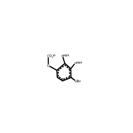 CCCCCCc1c(CCCC)ccc(OC(=O)O)c1CCCCCC